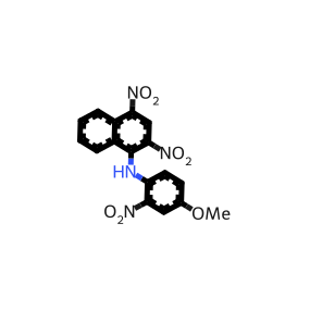 COc1ccc(Nc2c([N+](=O)[O-])cc([N+](=O)[O-])c3ccccc23)c([N+](=O)[O-])c1